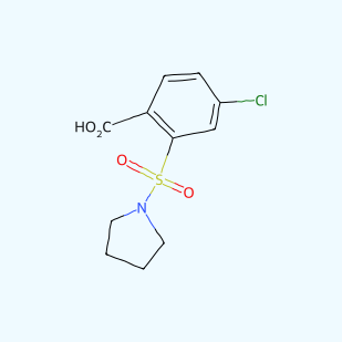 O=C(O)c1ccc(Cl)cc1S(=O)(=O)N1CCCC1